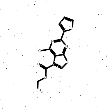 CCOC(=O)c1csc2nc(-c3cccs3)nc(Cl)c12